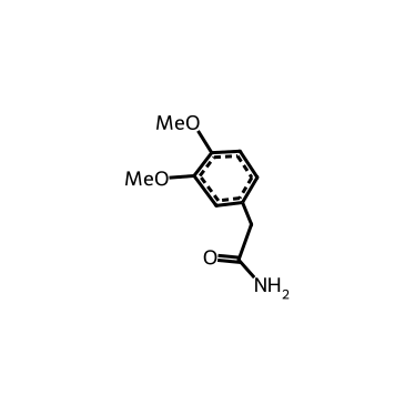 COc1ccc(CC(N)=O)cc1OC